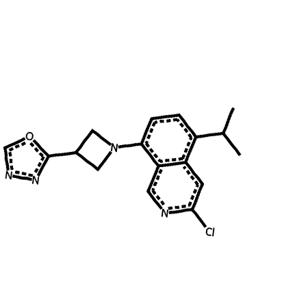 CC(C)c1ccc(N2CC(c3nnco3)C2)c2cnc(Cl)cc12